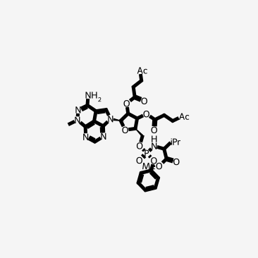 COC(=O)C(NP(=O)(OC[C@H]1O[C@@H](n2cc3c4c(ncnc42)N(C)N=C3N)C(OC(=O)CCC(C)=O)C1OC(=O)CCC(C)=O)Oc1ccccc1)C(C)C